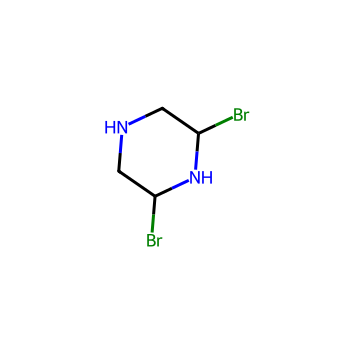 BrC1CNCC(Br)N1